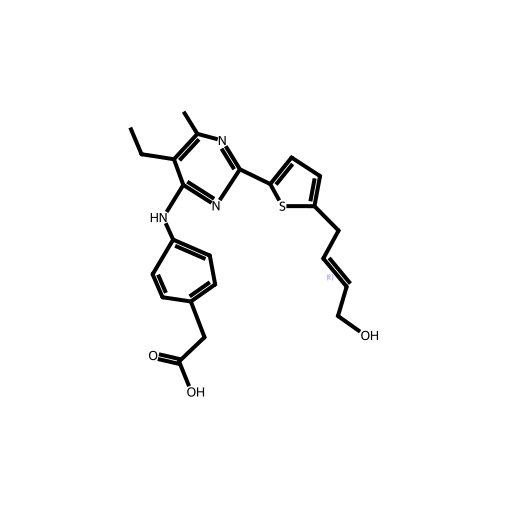 CCc1c(C)nc(-c2ccc(C/C=C/CO)s2)nc1Nc1ccc(CC(=O)O)cc1